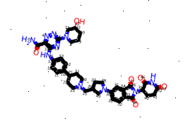 NC(=O)c1nnc(N2CCC[C@@H](O)C2)nc1Nc1ccc(C2CCN(CC3CCN(c4ccc5c(c4)C(=O)N(C4CCC(=O)NC4=O)C5=O)C3)CC2)cc1